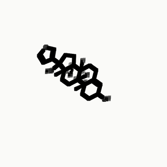 C[C@]12CCC(O)C=C1CC[C@@H]1[C@H]2CC[C@@]2(C)[C@H]1CCC2(O)c1ccoc1